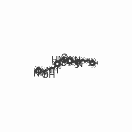 O=S(=O)(Nc1ccc(CCNCC(O)c2cccnc2)cc1)c1ccc(-c2nc(CCCC3CCCC3)ns2)cc1